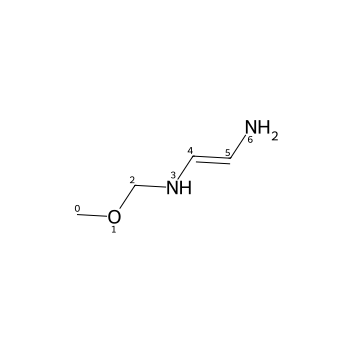 COCN/C=C/N